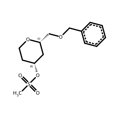 CS(=O)(=O)O[C@@H]1CCO[C@H](COCc2ccccc2)C1